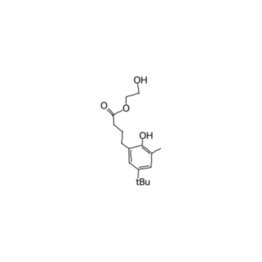 Cc1cc(C(C)(C)C)cc(CCCC(=O)OCCO)c1O